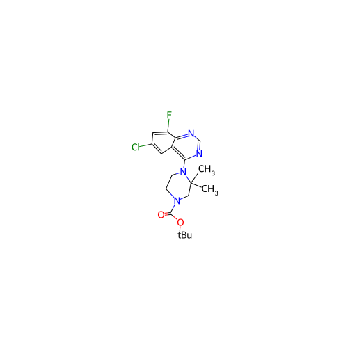 CC(C)(C)OC(=O)N1CCN(c2ncnc3c(F)cc(Cl)cc23)C(C)(C)C1